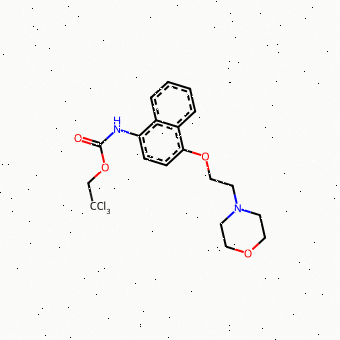 O=C(Nc1ccc(OCCN2CCOCC2)c2ccccc12)OCC(Cl)(Cl)Cl